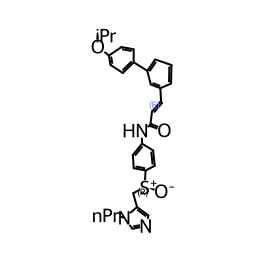 CCCn1cncc1C[S@+]([O-])c1ccc(NC(=O)/C=C/c2cccc(-c3ccc(OC(C)C)cc3)c2)cc1